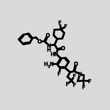 Nc1c(NC(=O)C(NC(=O)OCc2ccccc2)C2CCC(F)(F)CC2)ccc(C(CC(F)(F)F)C(=O)N2CC(F)(F)C2)c1F